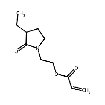 C=CC(=O)OCCN1CCC(CC)C1=O